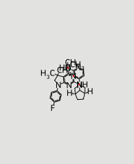 CNc1nc(NC2[C@@H]3CC[C@H]2CN(c2ccnc(OC)c2)C3)nc2c1C(C)(C)CN2c1ccc(F)cc1